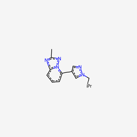 Cc1nc2cccc(-c3cnn(CC(C)C)c3)n2n1